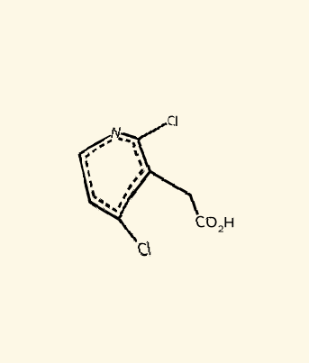 O=C(O)Cc1c(Cl)ccnc1Cl